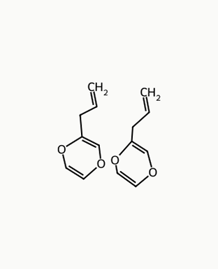 C=CCC1=COC=CO1.C=CCC1=COC=CO1